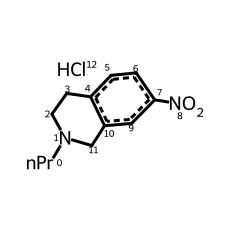 CCCN1CCc2ccc([N+](=O)[O-])cc2C1.Cl